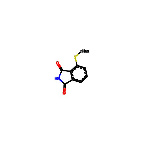 CCCCCCSc1cccc2c1C(=O)NC2=O